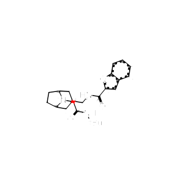 CC(C)(C)NC(=O)CN1C2CCC1CC(CNC(=O)c1cc3ccccc3o1)C2